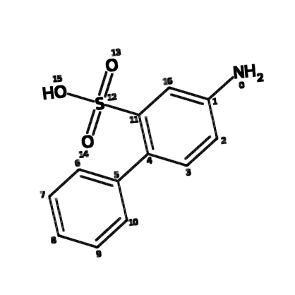 Nc1ccc(-c2ccccc2)c(S(=O)(=O)O)c1